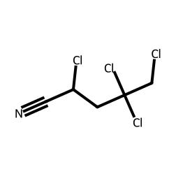 N#CC(Cl)CC(Cl)(Cl)CCl